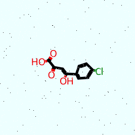 O=C(O)C(=O)/C=C(\O)c1ccc(Cl)cc1